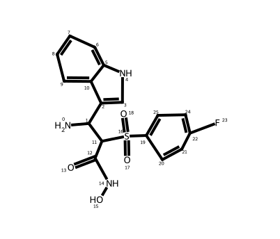 NC(c1c[nH]c2ccccc12)C(C(=O)NO)S(=O)(=O)c1ccc(F)cc1